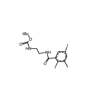 CC(C)(C)OC(=O)NCCNC(=O)c1cc(I)cc(I)c1I